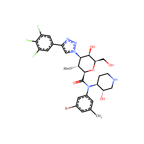 CO[C@@H]1[C@@H](n2cc(-c3cc(F)c(F)c(F)c3)nn2)[C@@H](O)[C@@H](CO)O[C@H]1C(=O)N(c1cc(C)cc(Br)c1)[C@H]1CCNC[C@@H]1O